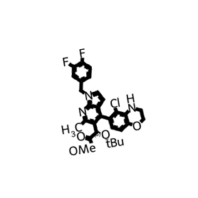 COC(=O)[C@@H](OC(C)(C)C)c1c(C)nc2c(ccn2Cc2ccc(F)c(F)c2)c1-c1ccc2c(c1Cl)NCCO2